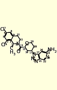 C[C@H]1c2c(Cl)cc(Cl)cc2CCN1C(=O)[C@@H]1C[C@@H](n2nnc3cnc(N)cc32)CCO1